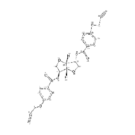 C#CCOc1ccc(C(=O)O[C@H]2CO[C@H]3[C@@H]2OC[C@H]3OC(=O)c2ccc(OCC#C)cc2)cc1